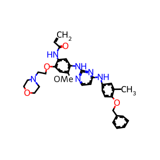 C=CC(=O)Nc1cc(Nc2nccc(Nc3ccc(OCc4ccccc4)c(C)c3)n2)c(OC)cc1OCCN1CCOCC1